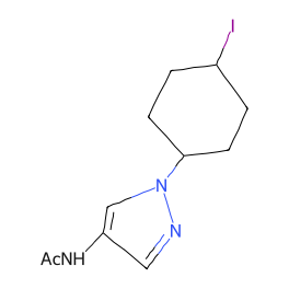 CC(=O)Nc1cnn(C2CCC(I)CC2)c1